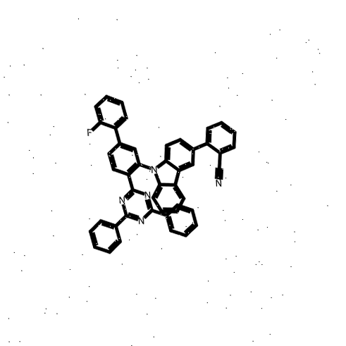 N#Cc1ccccc1-c1ccc2c(c1)c1ccccc1n2-c1cc(-c2ccccc2F)ccc1-c1nc(-c2ccccc2)nc(-c2ccccc2)n1